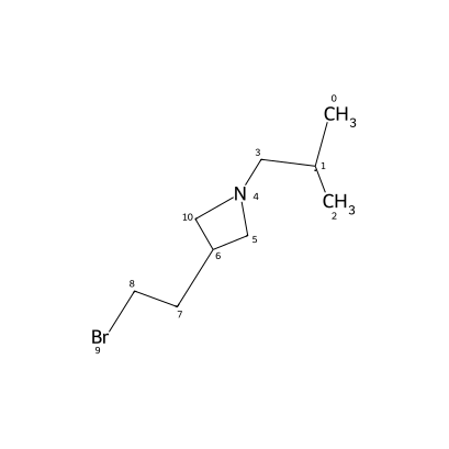 C[C](C)CN1CC(CCBr)C1